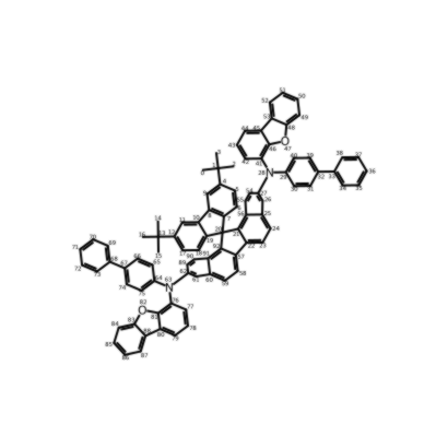 CC(C)(C)c1ccc2c(c1)-c1cc(C(C)(C)C)ccc1C21c2c(ccc3cc(N(c4ccc(-c5ccccc5)cc4)c4cccc5c4oc4ccccc45)ccc23)-c2ccc3cc(N(c4ccc(-c5ccccc5)cc4)c4cccc5c4oc4ccccc45)ccc3c21